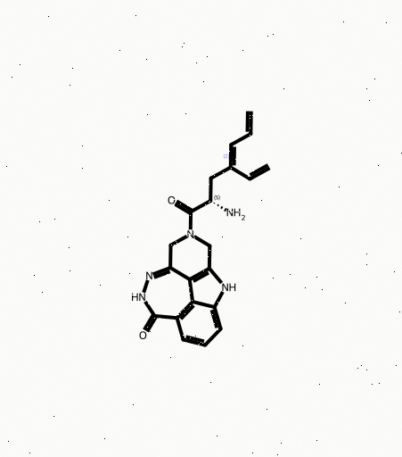 C=C/C=C(\C=C)C[C@H](N)C(=O)N1CC2=NNC(=O)c3cccc4[nH]c(c2c34)C1